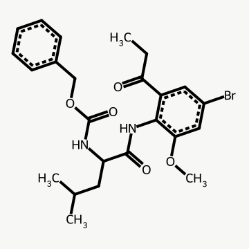 CCC(=O)c1cc(Br)cc(OC)c1NC(=O)C(CC(C)C)NC(=O)OCc1ccccc1